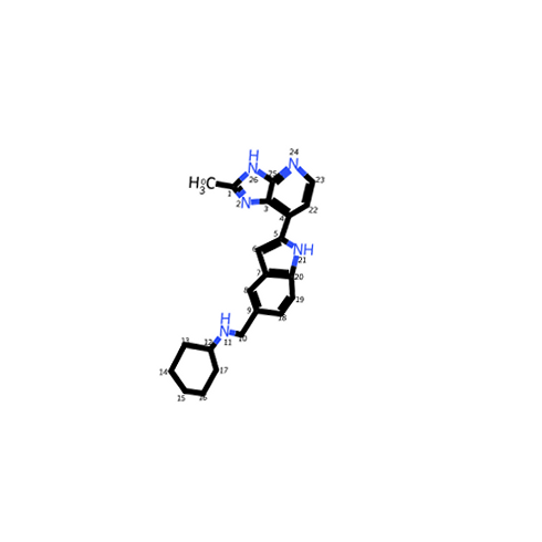 Cc1nc2c(-c3cc4cc(CNC5CCCCC5)ccc4[nH]3)ccnc2[nH]1